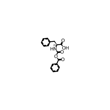 O=C(N[C@@H](Cc1ccccc1)C(=O)O)OC(=O)c1ccccc1